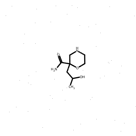 CC(O)CC1(C(N)=O)CNCCO1